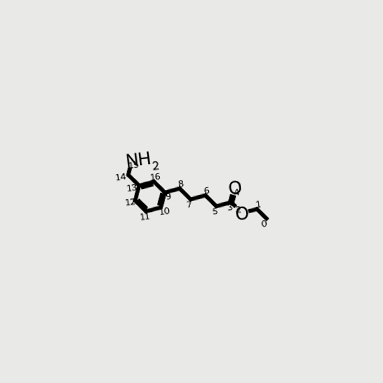 CCOC(=O)CCCCc1cccc(CN)c1